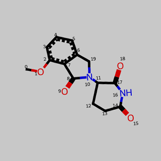 COc1cccc2c1C(=O)N(C1CCC(=O)NC1=O)C2